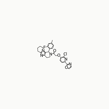 Cc1ccc(C2c3c(nc4n3CCCC4)CCN2C(=O)COc2ccc(-c3ncco3)nc2Cl)c(F)c1